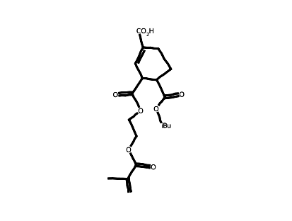 C=C(C)C(=O)OCCOC(=O)C1C=C(C(=O)O)CCC1C(=O)OC(C)CC